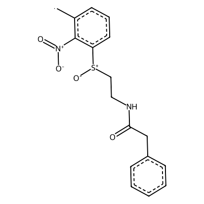 [CH2]c1cccc([S+]([O-])CCNC(=O)Cc2ccccc2)c1[N+](=O)[O-]